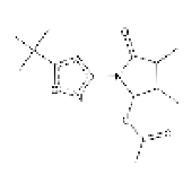 CC(=O)OC1C(C)=C(C)C(=O)N1c1cc(C(C)(C)C)on1